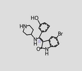 O=C1Nc2ccc(Br)cc2/C1=C(/NC1CCNCC1)c1cccc(O)c1